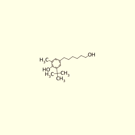 Cc1cc(CCCCCCO)cc(C(C)(C)C)c1O